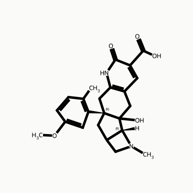 COc1ccc(C)c([C@@]23Cc4[nH]c(=O)c(C(=O)O)cc4CC2(O)[C@H]2C(CN2C)C3)c1